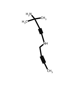 CC#CCNC#CC(C)(C)N